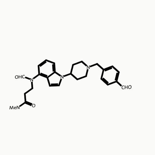 CNC(=O)CCN(C=O)c1cccc2c1ccn2C1CCN(Cc2ccc(C=O)cc2)CC1